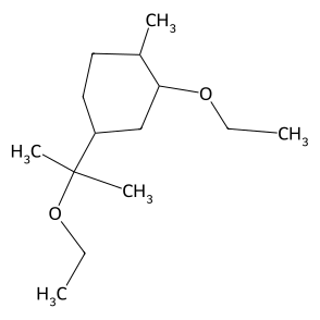 CCOC1CC(C(C)(C)OCC)CCC1C